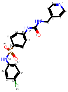 O=C(NCc1ccncc1)Nc1ccc(S(=O)(=O)Nc2ccc(Cl)cc2)cc1